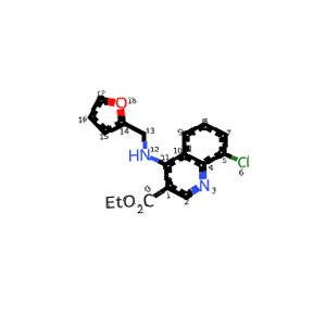 CCOC(=O)c1cnc2c(Cl)cccc2c1NCc1ccco1